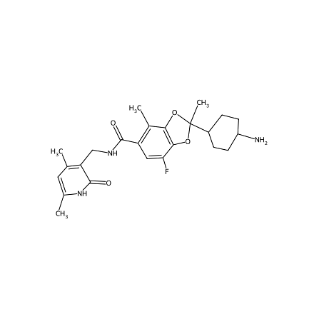 Cc1cc(C)c(CNC(=O)c2cc(F)c3c(c2C)OC(C)(C2CCC(N)CC2)O3)c(=O)[nH]1